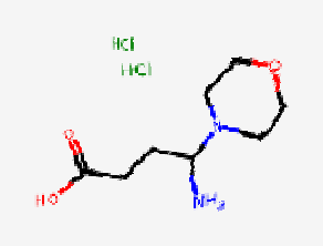 Cl.Cl.NC(CCC(=O)O)N1CCOCC1